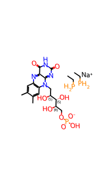 CCP.CCP.Cc1cc2nc3c(=O)[nH]c(=O)nc-3n(C[C@H](O)[C@H](O)[C@H](O)COP(=O)([O-])O)c2cc1C.[Na+]